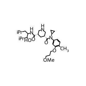 COCCCOc1cc(N(C(=O)[C@H]2CNC[C@@H](C(=O)NC(CC(C)C)C(O)C(C)C)C2)C2CC2)ccc1C